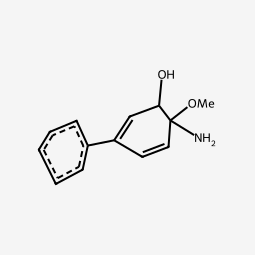 COC1(N)C=CC(c2ccccc2)=CC1O